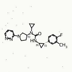 Cc1cc([C@@H]2C[C@H]2NC(=O)N(C2CC2)[C@H]2CCN(c3cccnn3)C2)ccc1F